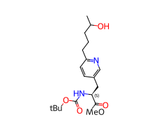 COC(=O)[C@H](Cc1ccc(CCCC(C)O)nc1)NC(=O)OC(C)(C)C